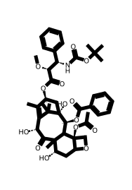 CO[C@@H](C(=O)O[C@H]1C[C@@]2(O)[C@@H](OC(=O)c3ccccc3)C3C(C)(C(=O)[C@H](O)C(=C1C)C2(C)C)[C@@H](O)CC1OC[C@]13OC(C)=O)[C@@H](NC(=O)OC(C)(C)C)c1ccccc1